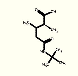 CC(CC(=O)NC(C)(C)C)[C@H](N)C(=O)O